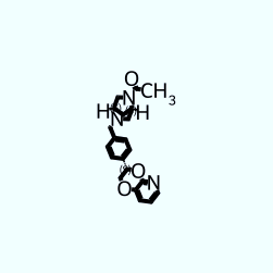 CC(=O)N1C[C@@H]2C[C@H]1CN2Cc1ccc([C@H]2COc3cccnc3O2)cc1